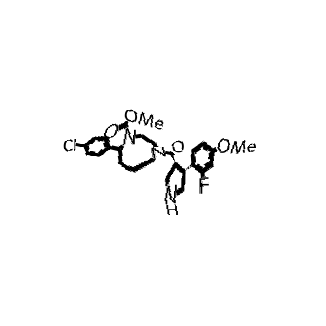 COC(=O)N1CCN(C(=O)[C@@H]2CNC[C@H]2c2ccc(OC)cc2F)CCCC1c1ccc(Cl)cc1